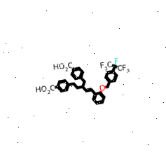 O=C(O)c1ccc(CCC(C=Cc2ccccc2OCc2ccc(C(F)(C(F)(F)F)C(F)(F)F)cc2)Cc2ccc(C(=O)O)cc2)cc1